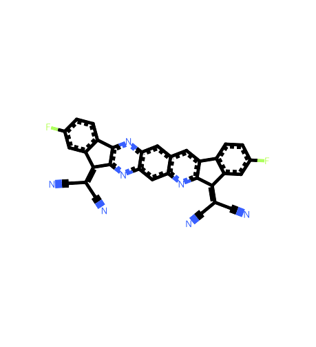 N#CC(C#N)=C1c2cc(F)ccc2-c2cc3cc4nc5c(nc4cc3nc21)C(=C(C#N)C#N)c1cc(F)ccc1-5